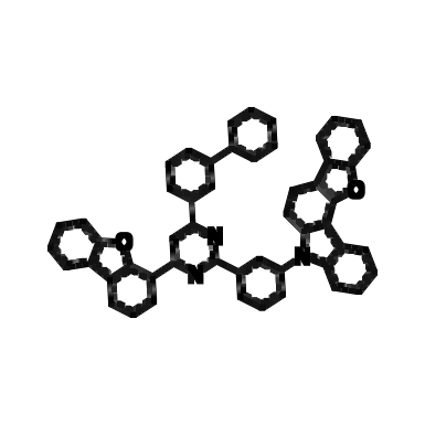 c1ccc(-c2cccc(-c3cc(-c4cccc5c4oc4ccccc45)nc(-c4cccc(-n5c6ccccc6c6c7oc8ccccc8c7ccc65)c4)n3)c2)cc1